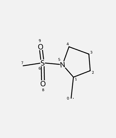 [CH2]C1CCCN1S(C)(=O)=O